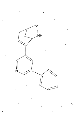 C1=C(c2cncc(-c3ccccc3)c2)C2CC(C1)CN2